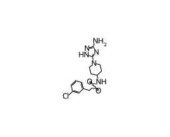 Nc1n[nH]c(N2CCC(NS(=O)(=O)Cc3cccc(Cl)c3)CC2)n1